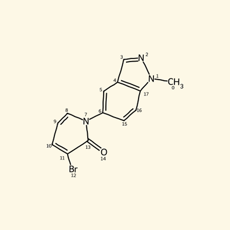 Cn1ncc2cc(-n3cccc(Br)c3=O)ccc21